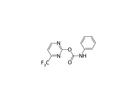 O=C(Nc1ccccc1)Oc1nccc(C(F)(F)F)n1